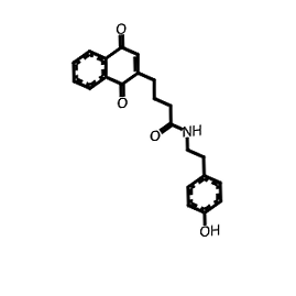 O=C(CCCC1=CC(=O)c2ccccc2C1=O)NCCc1ccc(O)cc1